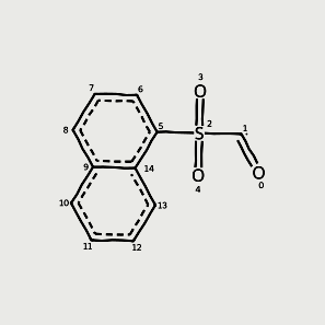 O=[C]S(=O)(=O)c1cccc2ccccc12